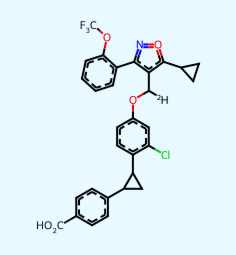 [2H]C(Oc1ccc(C2CC2c2ccc(C(=O)O)cc2)c(Cl)c1)c1c(-c2ccccc2OC(F)(F)F)noc1C1CC1